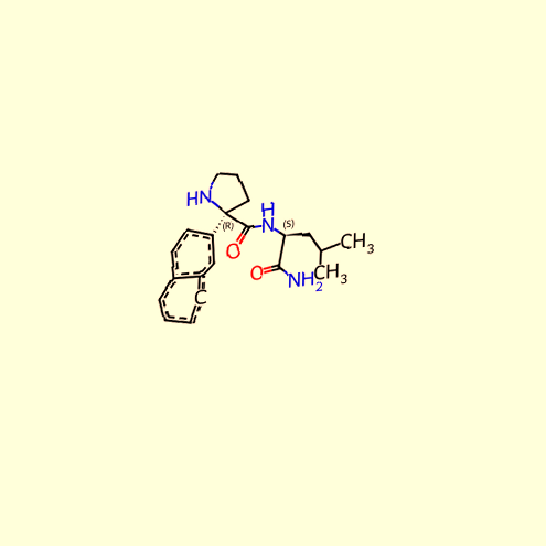 CC(C)C[C@H](NC(=O)[C@]1(c2ccc3ccccc3c2)CCCN1)C(N)=O